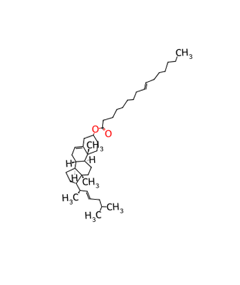 CCCCCCC=CCCCCCCCC(=O)OC1CC[C@@]2(C)C(=CC[C@H]3[C@@H]4CC[C@H]([C@H](C)C=CCC(C)C)[C@@]4(C)CC[C@@H]32)C1